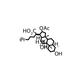 CC(=O)O[C@H]1C[C@@]2(C)[C@@H](C[C@@H](O)[C@H]3[C@@]4(C)CC[C@@H](O)[C@@H](C)[C@@H]4CC[C@@]32CN)/C1=C(\CCCC(C)C)C(=O)O